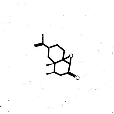 C=C(C)C1CCC23OC2C(=O)C[C@@H](C)[C@]3(C)C1